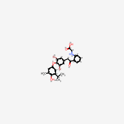 Cc1cc(Oc2c(Br)cc(CC(=O)c3ccccc3NCC(=O)O)cc2Br)cc(C(C)C)c1O